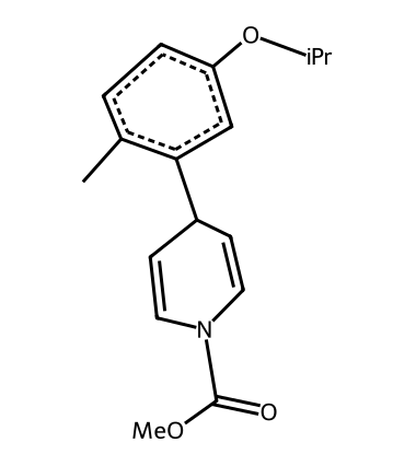 COC(=O)N1C=CC(c2cc(OC(C)C)ccc2C)C=C1